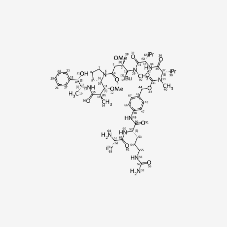 CC[C@H](C)C([C@@H](CC(=O)N1CCC[C@H]1[C@H](OC)[C@@H](C)C(=O)N[C@H](C)[C@@H](O)c1ccccc1)OC)N(C)C(=O)[C@@H](NC(=O)[C@H](C(C)C)N(C)C(=O)OCc1ccc(NC(=O)[C@H](CCCNC(N)=O)NC(=O)[C@@H](N)C(C)C)cc1)C(C)C